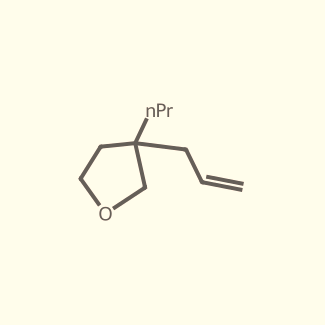 C=CCC1(CCC)CCOC1